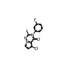 O=c1c2c(Cl)ccn2nc(I)n1-c1cccc(F)c1